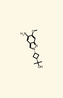 COc1cc2nn([C@H]3C[C@H](C(C)(C)O)C3)cc2cc1N